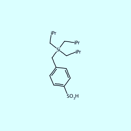 CC(C)C[Si](Cc1ccc(S(=O)(=O)O)cc1)(CC(C)C)CC(C)C